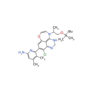 Cc1cc(N)nc(-c2cc3c4c(c2Cl)=NCNC=4N(C(C)CO[Si](C)(C)C(C)(C)C)C=CO3)c1C(F)(F)F